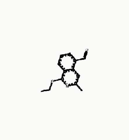 CCOc1nc(C)cc2c(C=O)cccc12